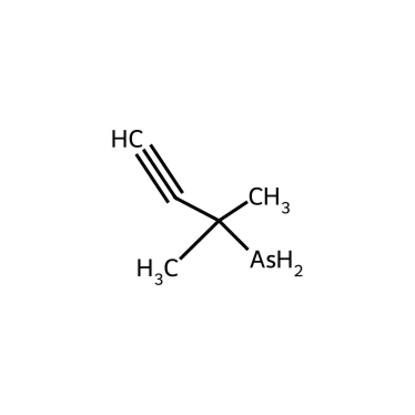 C#CC(C)(C)[AsH2]